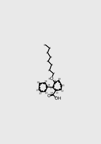 CCCCCCCCOc1cccc(C(=O)O)c1-c1ccccc1